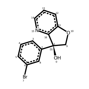 O[C@]1(c2cccc(Br)c2)COc2cccnc21